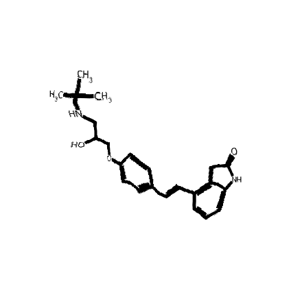 CC(C)(C)NCC(O)COc1ccc(C=Cc2cccc3c2CC(=O)N3)cc1